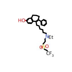 CCN(CCCCCCC1=C(c2ccccc2)CCCc2cc(O)ccc21)CCCS(=O)(=O)CCC(F)(F)F